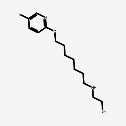 SCCNCCCCCCCOc1ccc(I)cn1